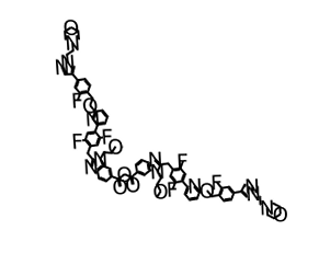 COCCn1c(Cc2cc(F)c(-c3cccc(OCc4ccc(-c5cnn(CCN6CCOCC6)c5)cc4F)n3)cc2F)nc2ccc(C(=O)OC(=O)c3ccc4nc(Cc5cc(F)c(-c6cccc(OCc7ccc(-c8cnn(CCN9CCOCC9)c8)cc7F)n6)cc5F)n(CCOC)c4c3)cc21